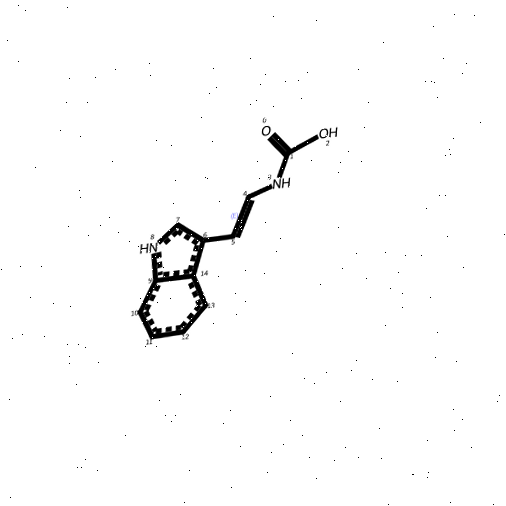 O=C(O)N/C=C/c1c[nH]c2ccccc12